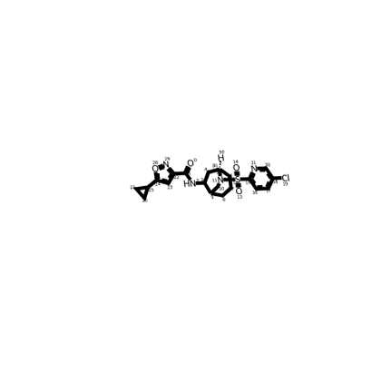 O=C(NC1C[C@H]2CCCC1CN2S(=O)(=O)c1ccc(Cl)cn1)c1cc(C2CC2)on1